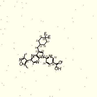 Cc1noc(C)c1-c1cnc2c(n1)c(CC1CCC(F)(F)CC1)cn2-c1ccc(C(=O)O)cn1